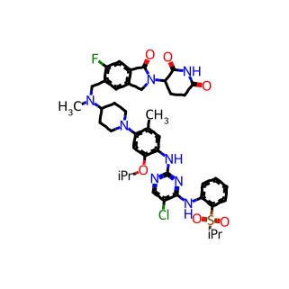 Cc1cc(Nc2ncc(Cl)c(Nc3ccccc3S(=O)(=O)C(C)C)n2)c(OC(C)C)cc1N1CCC(N(C)Cc2cc3c(cc2F)C(=O)N(C2CCC(=O)NC2=O)C3)CC1